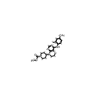 CC(=O)Oc1ccc(Nc2ncnc3c2OCCN3C2CCN(C(=O)OC(C)C)CC2)c(C)c1